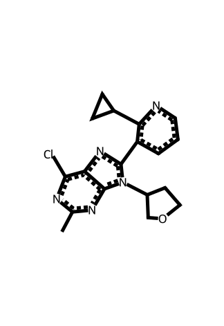 Cc1nc(Cl)c2nc(-c3cccnc3C3CC3)n(C3CCOC3)c2n1